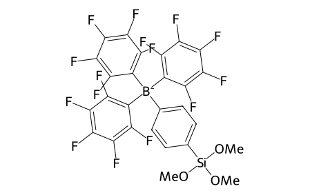 CO[Si](OC)(OC)c1ccc([B-](c2c(F)c(F)c(F)c(F)c2F)(c2c(F)c(F)c(F)c(F)c2F)c2c(F)c(F)c(F)c(F)c2F)cc1